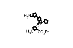 CCOC(=O)Cc1cc(C)ccc1OCc1nn(C2CCCCC2)c2ccc(-c3cccc(CN)c3)cc12